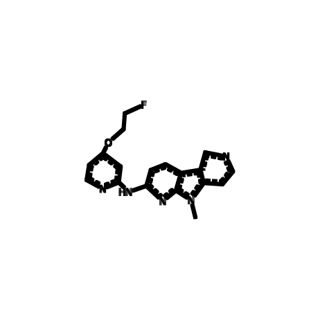 Cn1c2ccncc2c2ccc(Nc3cc(OCCF)ccn3)nc21